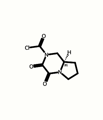 O=C(Cl)N1C[C@H]2CCCN2C(=O)C1=O